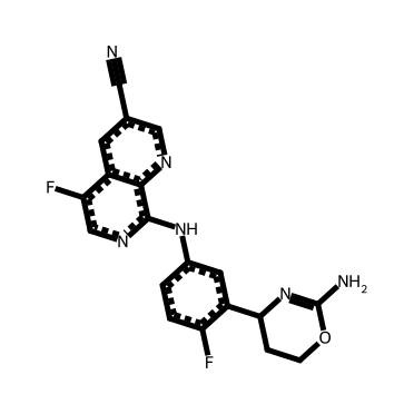 N#Cc1cnc2c(Nc3ccc(F)c(C4CCOC(N)=N4)c3)ncc(F)c2c1